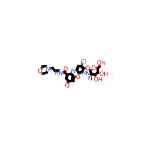 O=C(NCCCN1CCOCC1)c1cc(=O)cc2oc3cc(O[C@@]45N[C@H]4C(O)[C@@H](O)C(CO)O5)c(Cl)cc3nc1-2